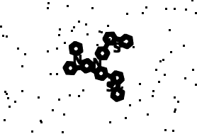 c1ccc(-n2c3ccccc3c3cc4c5ccc(-c6cccc7c6sc6ccccc67)cc5n(-c5ccc(-c6cccc7c6sc6ccccc67)cc5)c4cc32)cc1